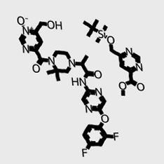 CC(C(=O)Nc1cnc(Oc2ccc(F)cc2F)cn1)N1CCN(C(=O)c2cc(CO)[n+]([O-])cn2)C(C)(C)C1.COC(=O)c1cc(CO[Si](C)(C)C(C)(C)C)ncn1